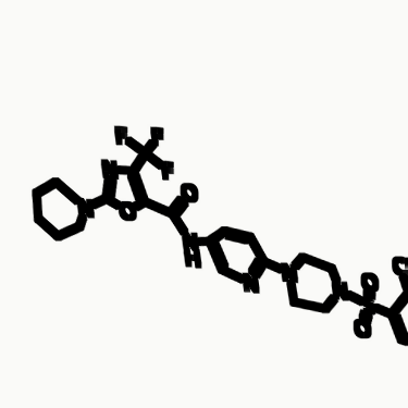 Cc1ccccc1S(=O)(=O)N1CCN(c2ccc(NC(=O)c3oc(N4CCCCC4)nc3C(F)(F)F)cn2)CC1